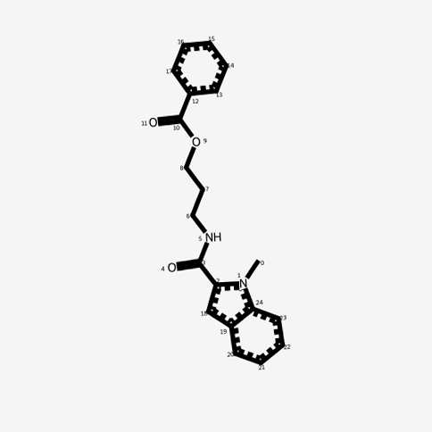 Cn1c(C(=O)NCCCOC(=O)c2ccccc2)cc2ccccc21